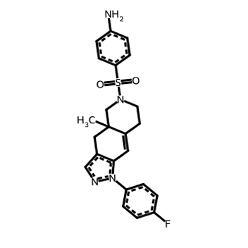 CC12Cc3cnn(-c4ccc(F)cc4)c3C=C1CCN(S(=O)(=O)c1ccc(N)cc1)C2